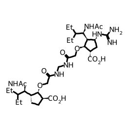 CCC(CC)[C@@H](NC(C)=O)[C@H]1CC[C@H](C(=O)O)[C@H]1OCC(=O)NCNC(=O)CO[C@H]1[C@@H]([C@H](NC(C)=O)C(CC)CC)[C@H](NC(=N)N)C[C@@H]1C(=O)O